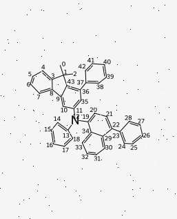 CC1(C)c2ccccc2-c2cc(N(c3ccccc3)c3ccc(-c4ccccc4)c4ccccc34)cc(-c3ccccc3)c21